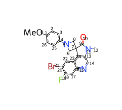 COc1ccc(N2CC3(C2)C(=O)N(C)c2cnc4cc(F)c(Br)cc4c23)cc1